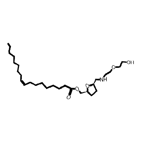 CCCCCCCC/C=C\CCCCCCCC(=O)OC[C@@H]1CC[C@H](CNCCOCCO)O1